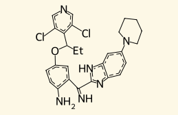 CCC(Oc1ccc(N)c(C(=N)c2nc3ccc(N4CCCCC4)cc3[nH]2)c1)c1c(Cl)cncc1Cl